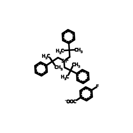 CC(C)([CH2][Sn+]([CH2]C(C)(C)c1ccccc1)[CH2]C(C)(C)c1ccccc1)c1ccccc1.O=C([O-])c1ccc(F)cc1